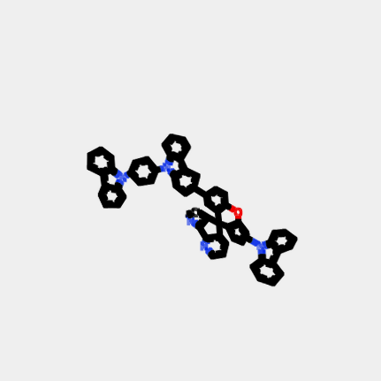 c1cnc2c(c1)C1(c3ccc(-n4c5ccccc5c5ccccc54)cc3Oc3ccc(-c4ccc5c(c4)c4ccccc4n5-c4ccc(-n5c6ccccc6c6ccccc65)cc4)cc31)c1cccnc1-2